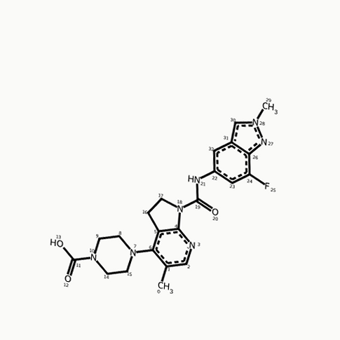 Cc1cnc2c(c1N1CCN(C(=O)O)CC1)CCN2C(=O)Nc1cc(F)c2nn(C)cc2c1